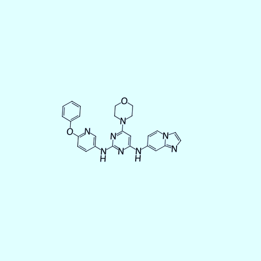 c1ccc(Oc2ccc(Nc3nc(Nc4ccn5ccnc5c4)cc(N4CCOCC4)n3)cn2)cc1